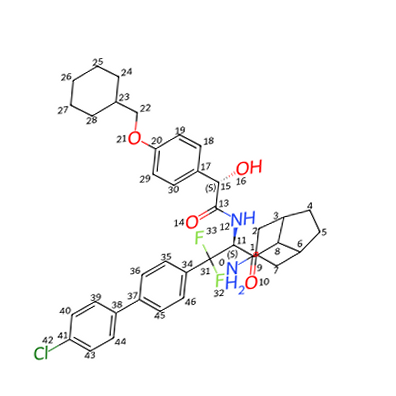 NC1CC2CCC(C1)C2C(=O)[C@H](NC(=O)[C@@H](O)c1ccc(OCC2CCCCC2)cc1)C(F)(F)c1ccc(-c2ccc(Cl)cc2)cc1